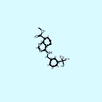 COC(=O)c1cccc2c(NCc3cccc(C(F)(F)F)c3)ncnc12